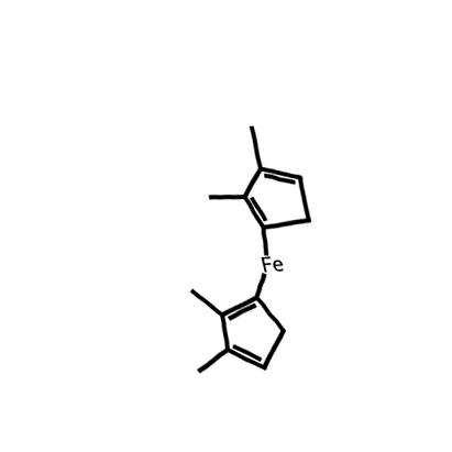 CC1=CC[C]([Fe][C]2=C(C)C(C)=CC2)=C1C